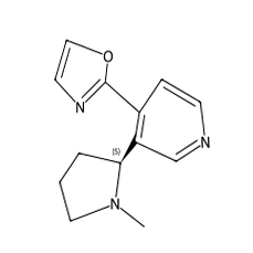 CN1CCC[C@H]1c1cnccc1-c1ncco1